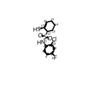 O=S(=O)(Nc1ccc(F)cc1Cl)[C@@H]1CCCC=C1S